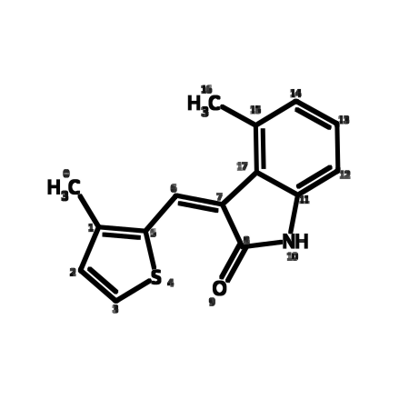 Cc1ccsc1/C=C1\C(=O)Nc2cccc(C)c21